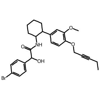 CCC#CCOc1ccc(C2CCCCC2NC(=O)C(O)c2ccc(Br)cc2)cc1OC